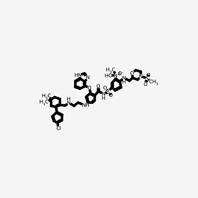 CC1(C)CCC(CNCCNc2ccc(C(=O)NS(=O)(=O)c3ccc(NCC4CN(S(C)(=O)=O)CCO4)c([N+](C)([O-])O)c3)c(Oc3cccc4[nH]cnc34)c2)=C(c2ccc(Cl)cc2)C1